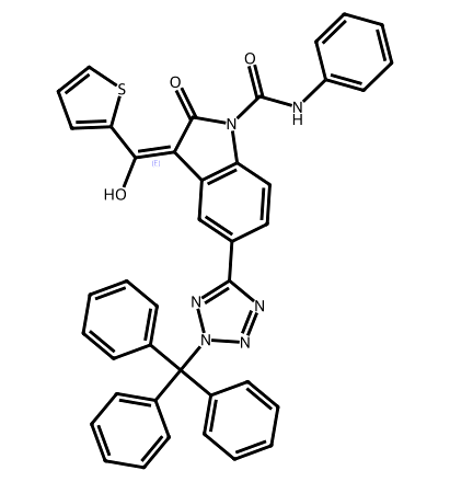 O=C(Nc1ccccc1)N1C(=O)/C(=C(/O)c2cccs2)c2cc(-c3nnn(C(c4ccccc4)(c4ccccc4)c4ccccc4)n3)ccc21